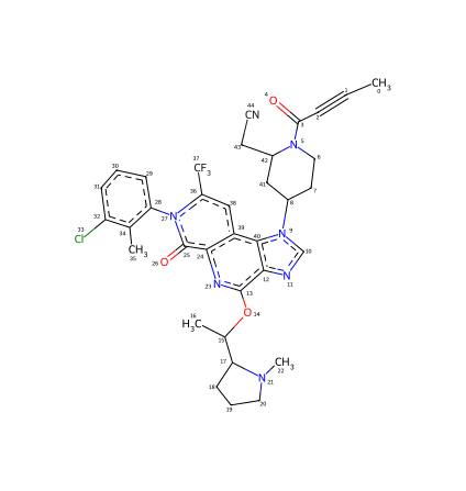 CC#CC(=O)N1CCC(n2cnc3c(OC(C)C4CCCN4C)nc4c(=O)n(-c5cccc(Cl)c5C)c(C(F)(F)F)cc4c32)CC1CC#N